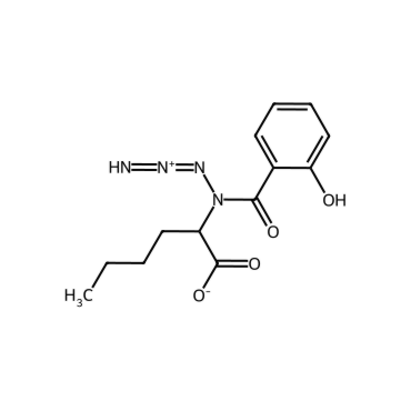 CCCCC(C(=O)[O-])N(N=[N+]=N)C(=O)c1ccccc1O